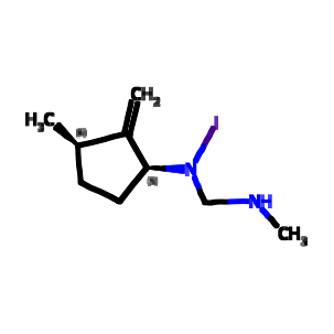 C=C1[C@H](C)CC[C@@H]1N(I)CNC